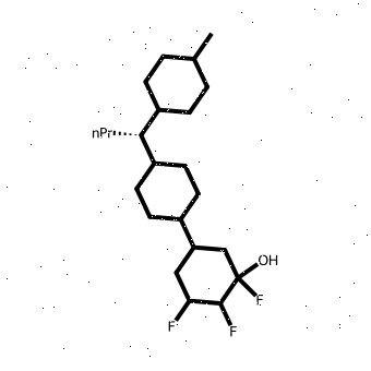 CCC[C@H](C1CCC(C)CC1)C1CCC(C2CC(F)C(F)C(O)(F)C2)CC1